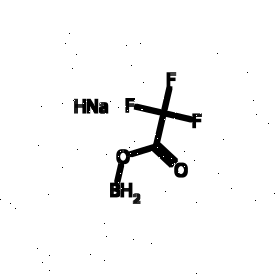 BOC(=O)C(F)(F)F.[NaH]